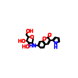 O=c1oc2cc(NC3COC(CO)[C@@H](O)C3O)ccc2cc1-c1ccc[nH]1